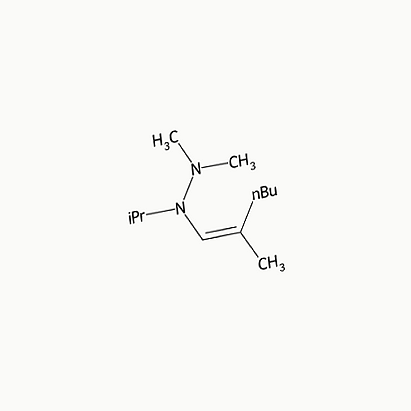 CCCC/C(C)=C\N(C(C)C)N(C)C